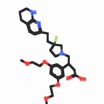 COCCOc1cc(OCCOC)cc(C(CC(=O)O)CN2CC[C@@](F)(CCc3ccc4c(n3)NCCC4)C2)c1